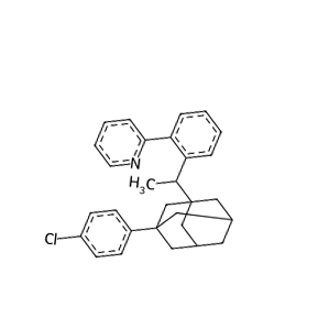 CC(c1ccccc1-c1ccccn1)C12CC3CC(CC(c4ccc(Cl)cc4)(C3)C1)C2